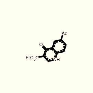 CCOC(=O)c1c[nH]c2ccc(C(C)=O)cc2c1=O